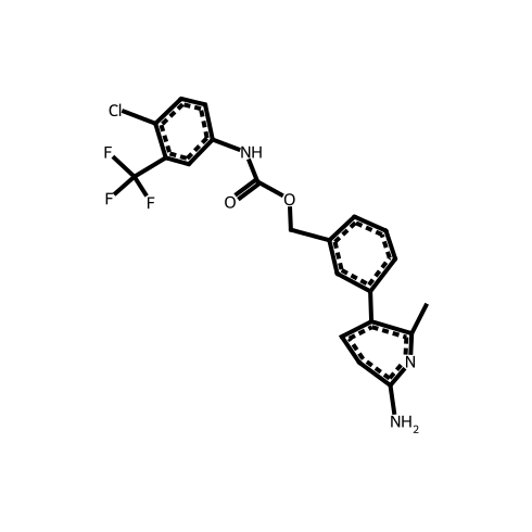 Cc1nc(N)ccc1-c1cccc(COC(=O)Nc2ccc(Cl)c(C(F)(F)F)c2)c1